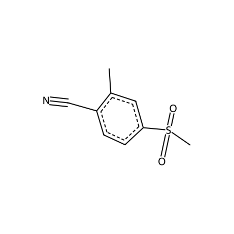 Cc1cc(S(C)(=O)=O)ccc1C#N